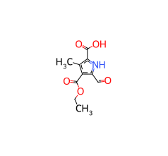 CCOC(=O)c1c(C=O)[nH]c(C(=O)O)c1C